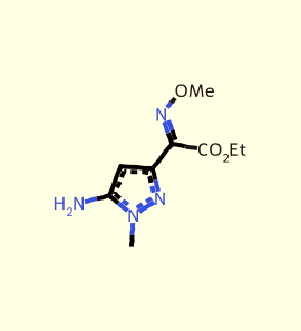 CCOC(=O)C(=NOC)c1cc(N)n(C)n1